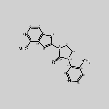 COc1nccc2sc(N3CCN(c4cnccc4C)C3=O)cc12